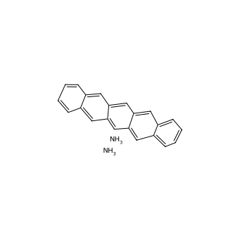 N.N.c1ccc2cc3cc4cc5ccccc5cc4cc3cc2c1